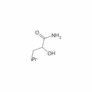 C[C](C)CC(O)C(N)=O